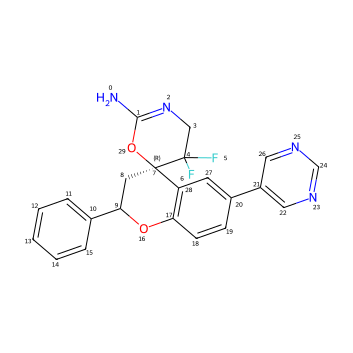 NC1=NCC(F)(F)[C@]2(CC(c3ccccc3)Oc3ccc(-c4cncnc4)cc32)O1